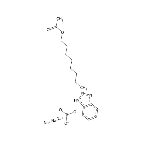 CCCCCCCCOC(C)=O.[Na+].[Na+].[Na+].[O-]B([O-])[O-].c1ccc2[nH]nnc2c1